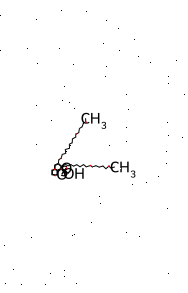 CCCCCCCCCCCCCCCCCc1cc2ccccc2c(S(=O)(=O)O)c1CCCCCCCCCCCCCCCCC